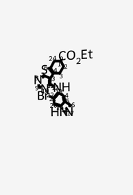 CCOC(=O)[C@H]1CCc2c(sc3ncnc(Nc4cc5cn[nH]c5cc4Br)c23)C1